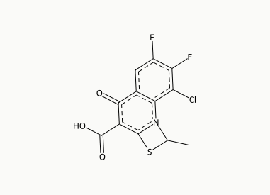 CC1Sc2c(C(=O)O)c(=O)c3cc(F)c(F)c(Cl)c3n21